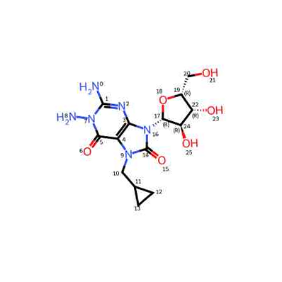 Nc1nc2c(c(=O)n1N)n(CC1CC1)c(=O)n2[C@@H]1O[C@H](CO)[C@H](O)[C@H]1O